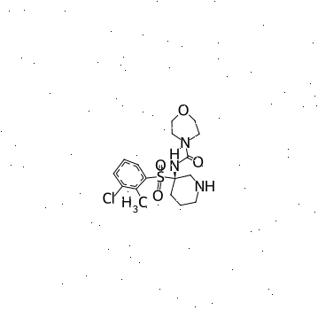 Cc1c(Cl)cccc1S(=O)(=O)[C@@]1(NC(=O)N2CCOCC2)CCCNC1